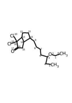 CCOC(CC)CCCCC1CCC2C1CC(=O)C2(Cl)Cl